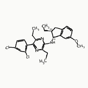 CCc1nc(-c2ccc(Cl)cc2Cl)c(CC)nc1N[C@@H]1c2cc(OC)ccc2C[C@@H]1CC